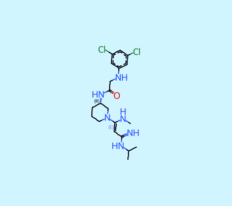 CN/C(=C\C(=N)NC(C)C)N1CCC[C@@H](NC(=O)CNc2cc(Cl)cc(Cl)c2)C1